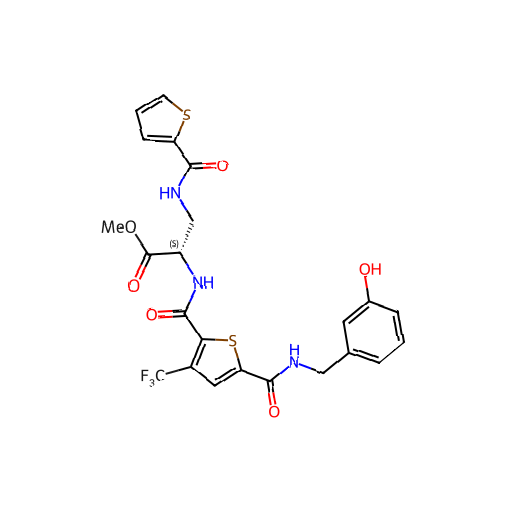 COC(=O)[C@H](CNC(=O)c1cccs1)NC(=O)c1sc(C(=O)NCc2cccc(O)c2)cc1C(F)(F)F